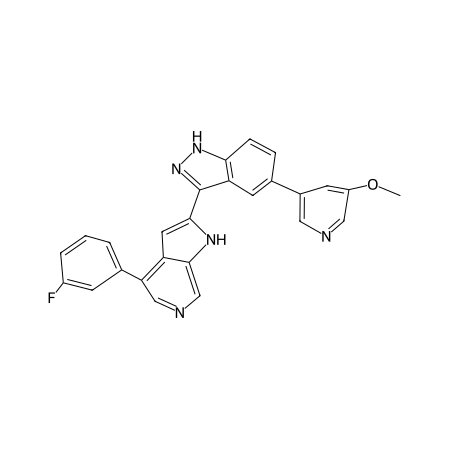 COc1cncc(-c2ccc3[nH]nc(-c4cc5c(-c6cccc(F)c6)cncc5[nH]4)c3c2)c1